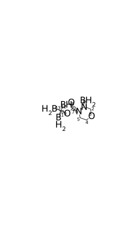 BN1COCCN1C(=O)OC(B)(B)B